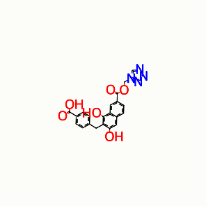 O=C(O)c1ccc(Cc2c(O)cc3ccc(C(=O)OCn4cnnn4)cc3c2O)cc1